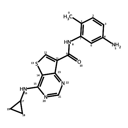 Cc1ccc(N)cc1NC(=O)c1csc2c(NC3CC3)ncnc12